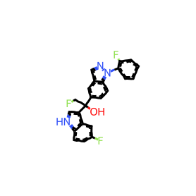 OC(CF)(c1ccc2c(cnn2-c2ccccc2F)c1)c1c[nH]c2ccc(F)cc12